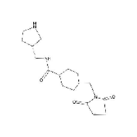 O=C(NC[C@@H]1CCNC1)C1CCC(CN2C(=O)C=CC2=O)CC1